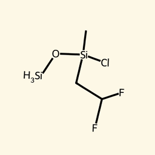 C[Si](Cl)(CC(F)F)O[SiH3]